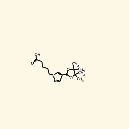 CC1(C)OB(c2cnn(CCCCC(=O)O)c2)OC1(C)C